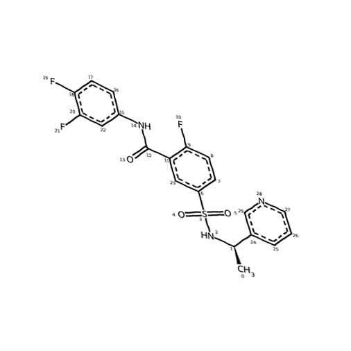 C[C@@H](NS(=O)(=O)c1ccc(F)c(C(=O)Nc2ccc(F)c(F)c2)c1)c1cccnc1